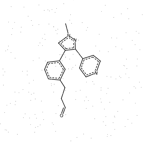 Cn1cc(-c2cccc(CCC=O)c2)c(-c2ccncc2)n1